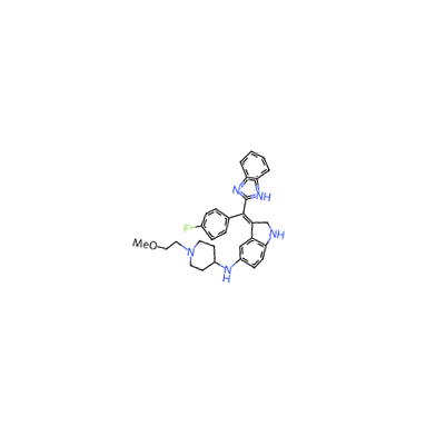 COCCN1CCC(Nc2ccc3c(c2)C(=C(c2ccc(F)cc2)c2nc4ccccc4[nH]2)CN3)CC1